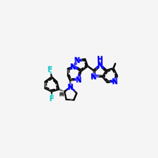 Cc1cncc2nc(-c3cnn4ccc(N5CCC[C@@H]5c5cc(F)ccc5F)nc34)[nH]c12